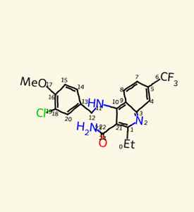 CCc1nc2cc(C(F)(F)F)ccc2c(NCc2ccc(OC)c(Cl)c2)c1C(N)=O